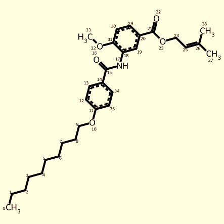 CCCCCCCCCCOc1ccc(C(=O)Nc2cc(C(=O)OCC=C(C)C)ccc2OC)cc1